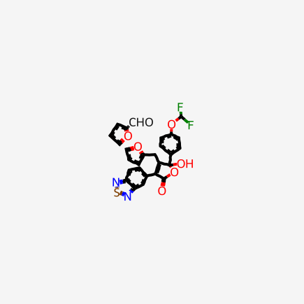 O=C1OC(O)(c2ccc(OC(F)F)cc2)C(Cc2ccco2)=C1c1ccc2nsnc2c1.O=Cc1ccco1